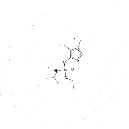 CCOP(=O)(NC(C)C)Oc1scc(C)c1C